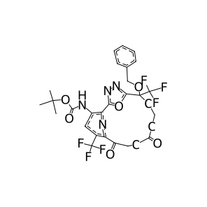 CC(C)(C)OC(=O)Nc1cc(C(F)(F)F)c2nc1-c1nnc(o1)C(OCc1ccccc1)(C(F)(F)F)CCCC(=O)CCC2=O